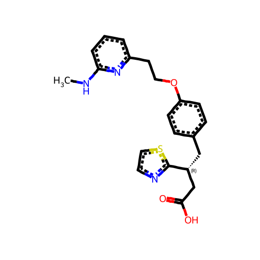 CNc1cccc(CCOc2ccc(C[C@H](CC(=O)O)c3nccs3)cc2)n1